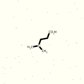 C[S+](C)CCC(=O)O